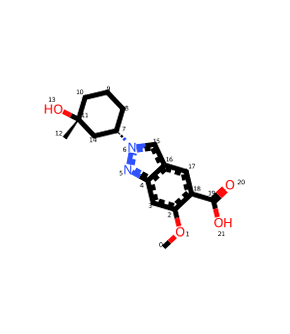 COc1cc2nn([C@H]3CCC[C@@](C)(O)C3)cc2cc1C(=O)O